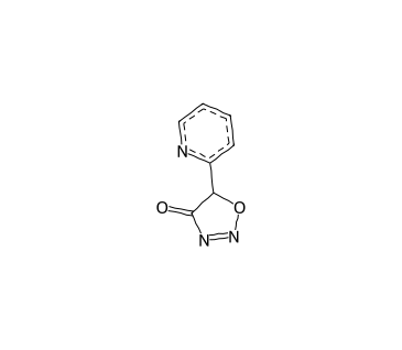 O=C1N=NOC1c1ccccn1